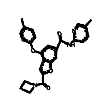 Cc1ccc(Oc2cc(C(=O)Nc3ccc(C)cn3)cc3oc(C(=O)N4CCC4)cc23)cc1